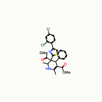 COC(=O)C1=C(C)NC(C)C(C(=O)OC)(c2nc(-c3ccc(Cl)cc3Cl)cs2)C1c1ccccc1